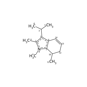 Cc1c(C(C)C)c2c(n1C)C(C)CC=C2